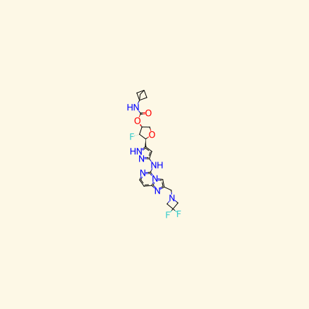 O=C(NC12CC(C1)C2)O[C@H]1CO[C@@H](c2cc(Nc3nccc4nc(CN5CC(F)(F)C5)cn34)n[nH]2)[C@@H]1F